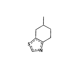 CC1CCc2ncsc2C1